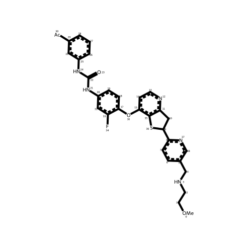 COCCNCc1ccc(C2Cc3nccc(Oc4ccc(NC(=O)Nc5cccc(C(C)=O)c5)cc4F)c3S2)nc1